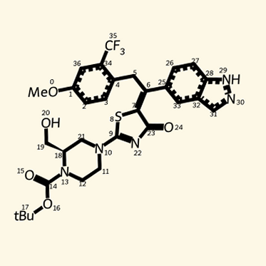 COc1ccc(CC(=C2SC(N3CCN(C(=O)OC(C)(C)C)[C@@H](CO)C3)=NC2=O)c2ccc3[nH]ncc3c2)c(C(F)(F)F)c1